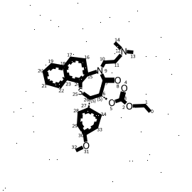 CCOC(=O)O[C@H]1C(=O)N(CCN(C)C)c2ccc3ccccc3c2S[C@H]1c1ccc(OC)cc1